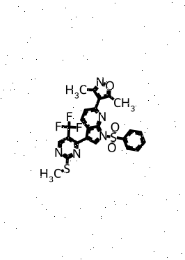 CSc1ncc(C(F)(F)F)c(-c2cn(S(=O)(=O)c3ccccc3)c3nc(-c4c(C)noc4C)ccc23)n1